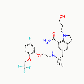 C[C@H](Cc1cc2c(c(C(N)=O)c1)N(CCCO)CC2)NCCOc1cc(F)ccc1OCC(F)(F)F